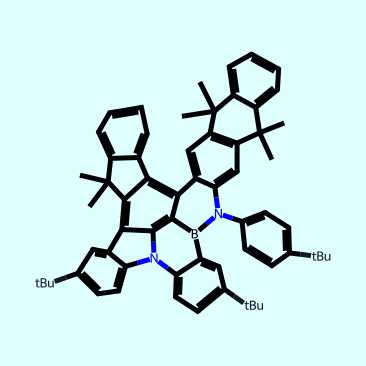 CC(C)(C)c1ccc(N2B3c4cc(C(C)(C)C)ccc4-n4c5ccc(C(C)(C)C)cc5c5c6c(c(c3c54)-c3cc4c(cc32)C(C)(C)c2ccccc2C4(C)C)-c2ccccc2C6(C)C)cc1